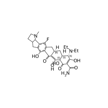 CCN(CC)[C@@H]1C(O)=C(C(N)=O)C(=O)[C@@]2(O)C(O)=C3C(=O)c4c(O)c5c(c(F)c4C[C@H]3C[C@@H]12)C1C(CCN1C)C5